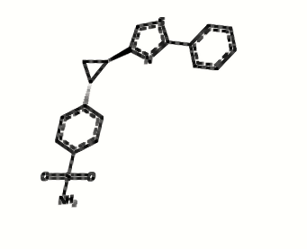 NS(=O)(=O)c1ccc([C@@H]2C[C@H]2c2csc(-c3ccccc3)n2)cc1